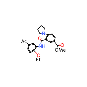 CCOc1ccc(C(C)=O)cc1NC(=O)c1cc(C(=O)OC)ccc1N1CCCC1